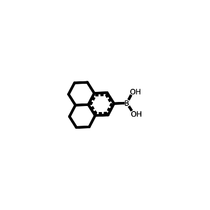 OB(O)c1cc2c3c(c1)CCCC3CCC2